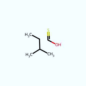 CCC(C)C.OC=S